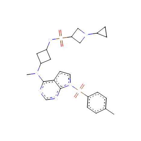 Cc1ccc(S(=O)(=O)n2ccc3c(N(C)C4CC(NS(=O)(=O)C5CN(C6CC6)C5)C4)ncnc32)cc1